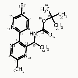 Cc1cnc(-c2ccc(Br)cn2)c([C@H](C)NC(=O)OC(C)(C)C)n1